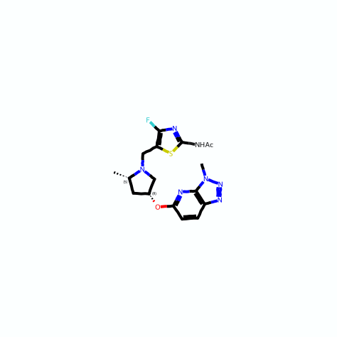 CC(=O)Nc1nc(F)c(CN2C[C@H](Oc3ccc4nnn(C)c4n3)C[C@@H]2C)s1